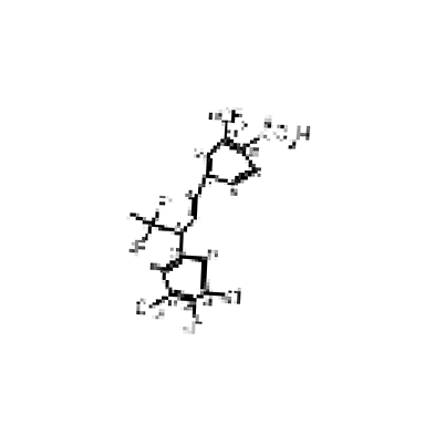 CC(F)(F)C(/C=C/c1ccc(C(=O)O)c(C(F)(F)F)c1)c1cc(Cl)c(F)c(Cl)c1